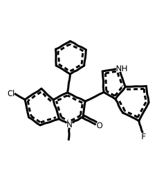 Cn1c(=O)c(-c2c[nH]c3ccc(F)cc23)c(-c2ccccc2)c2cc(Cl)ccc21